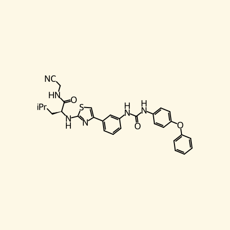 CC(C)C[C@H](Nc1nc(-c2cccc(NC(=O)Nc3ccc(Oc4ccccc4)cc3)c2)cs1)C(=O)NCC#N